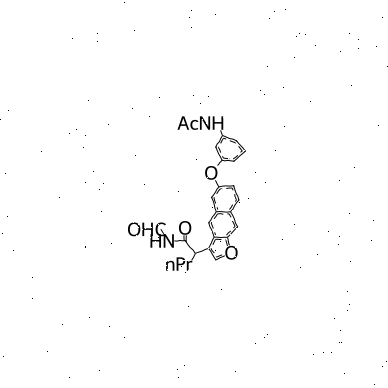 CCCC(C(=O)NC=O)c1coc2cc3ccc(Oc4cccc(NC(C)=O)c4)cc3cc12